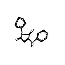 O=C1C=C(Nc2ccccc2)C(=O)N1c1ccccc1